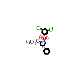 O=C(O)[C@@H]1C[C@@H](c2ccccc2)CN1S(=O)(=O)c1cc(Cl)cc(Cl)c1